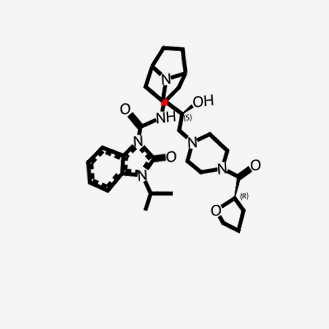 CC(C)n1c(=O)n(C(=O)NC2CC3CCC(C2)N3C[C@@H](O)CN2CCN(C(=O)[C@H]3CCCO3)CC2)c2ccccc21